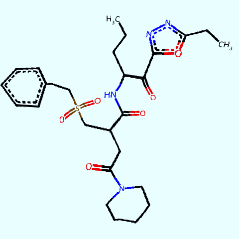 CCCC(NC(=O)C(CC(=O)N1CCCCC1)CS(=O)(=O)Cc1ccccc1)C(=O)c1nnc(CC)o1